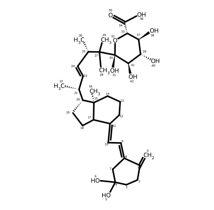 C=C1CCC(O)(O)CC1=CC=C1CCC[C@@]2(C)C1CC[C@@H]2[C@H](C)C=C[C@H](C)C(C)(C)[C@]1(O)O[C@H](C(=O)O)[C@@H](O)[C@H](O)[C@H]1O